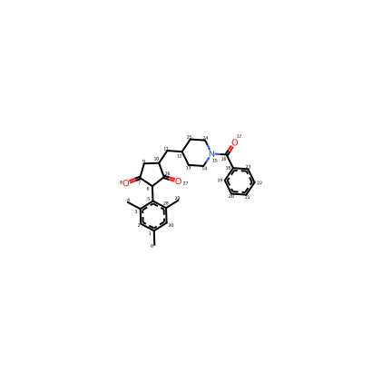 Cc1cc(C)c(C2C(=O)CC(CC3CCN(C(=O)c4ccccc4)CC3)C2=O)c(C)c1